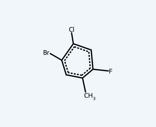 Cc1cc(Br)c(Cl)cc1F